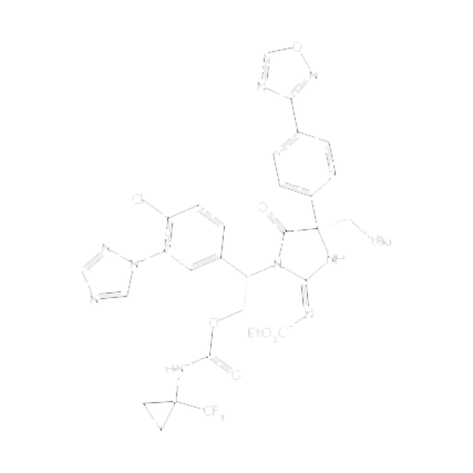 CCOC(=O)N=C1N[C@](CC(C)(C)C)(c2ccc(-c3ncon3)cc2)C(=O)N1[C@H](COC(=O)NC1(C(F)(F)F)CC1)c1ccc(Cl)c(-n2cncn2)c1